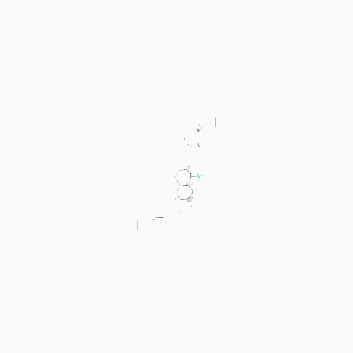 CC=CCCc1cc2ccc(C3CCC4CC(C)CCC4C3)c(F)c2cc1F